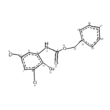 O=C(Nc1cc(Cl)cc(Cl)c1O)OCc1ccccc1